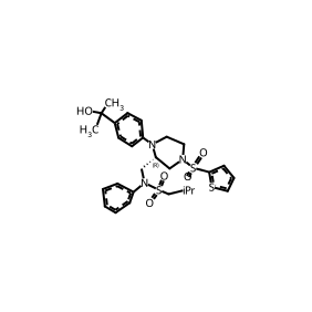 CC(C)CS(=O)(=O)N(C[C@H]1CN(S(=O)(=O)c2cccs2)CCN1c1ccc(C(C)(C)O)cc1)c1ccccc1